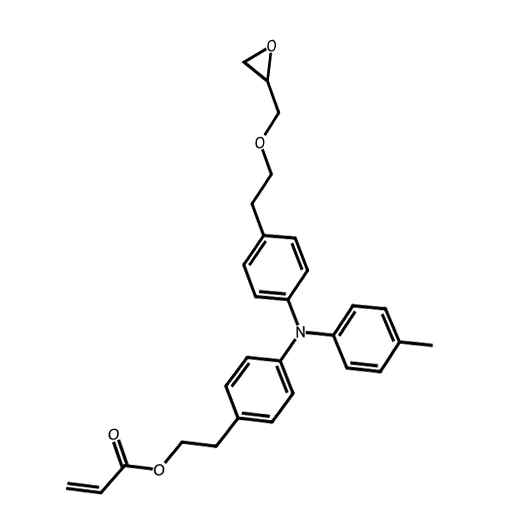 C=CC(=O)OCCc1ccc(N(c2ccc(C)cc2)c2ccc(CCOCC3CO3)cc2)cc1